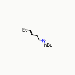 CCC=CCC[N]CCCC